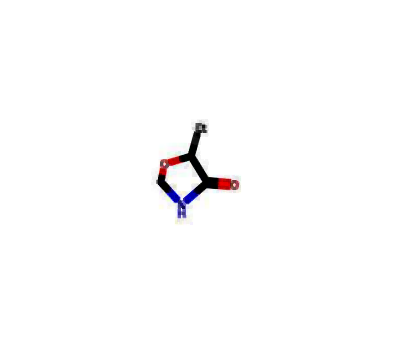 CCC1O[CH]NC1=O